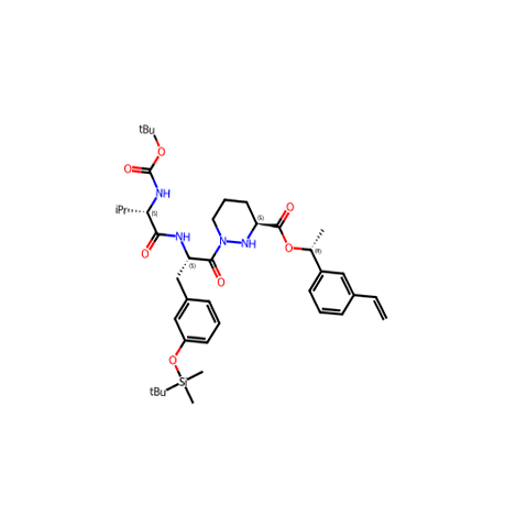 C=Cc1cccc([C@@H](C)OC(=O)[C@@H]2CCCN(C(=O)[C@H](Cc3cccc(O[Si](C)(C)C(C)(C)C)c3)NC(=O)[C@@H](NC(=O)OC(C)(C)C)C(C)C)N2)c1